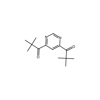 CC(C)(C)C(=O)c1cc(C(=O)C(C)(C)C)ncn1